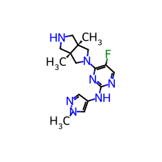 Cn1cc(Nc2ncc(F)c(N3C[C@]4(C)CNC[C@]4(C)C3)n2)cn1